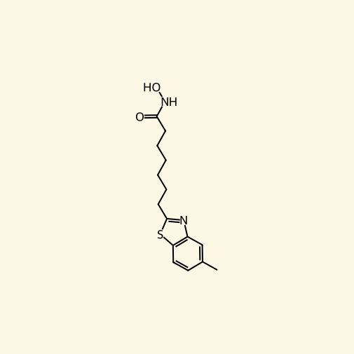 Cc1ccc2sc(CCCCCCC(=O)NO)nc2c1